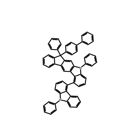 c1ccc(-c2ccc(C3(c4ccccc4)c4ccccc4-c4cc5c6c(-c7cccc8c7c7ccccc7n8-c7ccccc7)cccc6n(-c6ccccc6)c5cc43)cc2)cc1